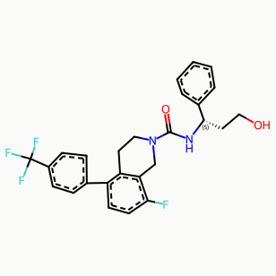 O=C(N[C@@H](CCO)c1ccccc1)N1CCc2c(-c3ccc(C(F)(F)F)cc3)ccc(F)c2C1